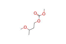 COC(=O)OCCC(C)OC